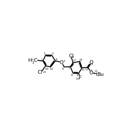 Cc1ccc(OCc2cc(F)c(C(=O)OC(C)(C)C)cc2Cl)cc1Cl